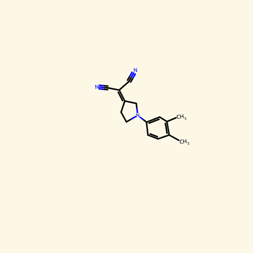 Cc1ccc(N2CCC(=C(C#N)C#N)C2)cc1C